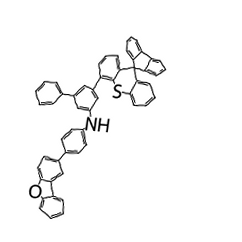 c1ccc(-c2cc(Nc3ccc(-c4ccc5oc6ccccc6c5c4)cc3)cc(-c3cccc4c3Sc3ccccc3C43c4ccccc4-c4ccccc43)c2)cc1